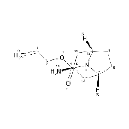 C=CCOC(=O)N1[C@@H]2CC[C@H]1C[C@H](N)C2